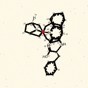 O=C(O)[C@H](Cc1ccccc1)Nc1nc2ccccc2n([C@H]2CC3CC[C@@H](C2)N3C2CCCCCCC2)c1=O